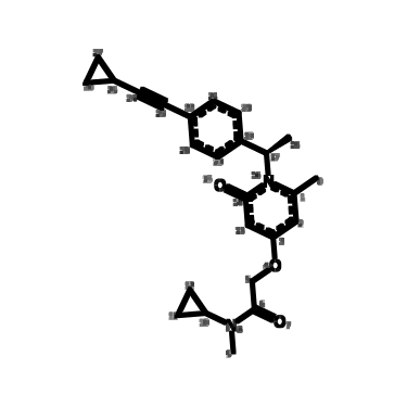 Cc1cc(OCC(=O)N(C)C2CC2)cc(=O)n1[C@H](C)c1ccc(C#CC2CC2)cc1